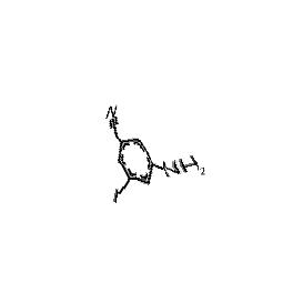 N#Cc1cc(N)cc(I)c1